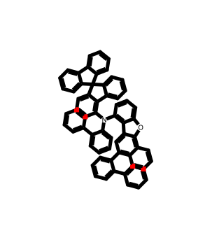 c1ccc(-c2ccccc2-c2cc3c(oc4cccc(N(c5ccccc5-c5ccccc5)c5cccc6c5-c5ccccc5C65c6ccccc6-c6ccccc65)c43)c3ccccc23)cc1